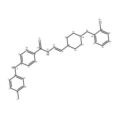 Cc1ccc(Nc2ccc(C(=O)N/N=C/C3CCN(Cc4ccccc4Cl)CC3)nc2)cc1